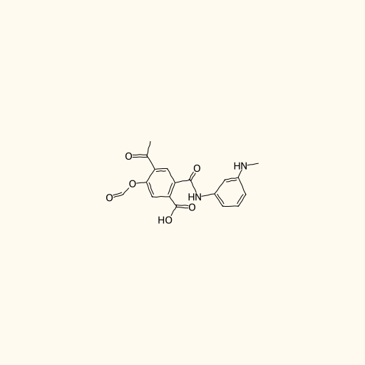 CNc1cccc(NC(=O)c2cc(C(C)=O)c(OC=O)cc2C(=O)O)c1